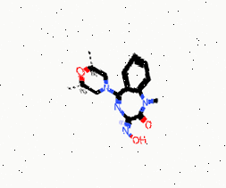 C[C@@H]1CN(c2n/c(=N/O)c(=O)n(C)c3ccccc23)C[C@H](C)O1